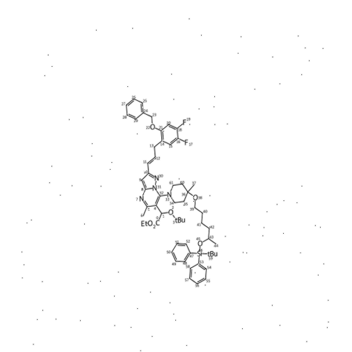 CCOC(=O)C(OC(C)(C)C)c1c(C)nc2cc(C=CCc3cc(F)c(F)cc3OCc3ccccc3)nn2c1N1CCC(C)(OCCCCC(C)O[Si](c2ccccc2)(c2ccccc2)C(C)(C)C)CC1